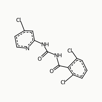 O=C(NC(=O)c1c(Cl)cccc1Cl)Nc1cc(Cl)ccn1